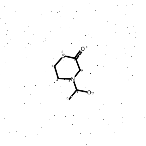 CC([O])N1CCSC(=O)C1